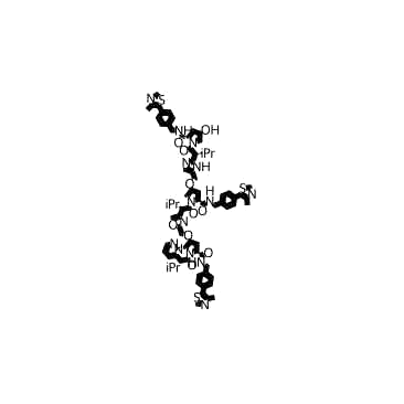 Cc1ncsc1-c1ccc(CNC(=O)[C@@H]2C[C@@H](OCc3nc([C@H](C(=O)N4C[C@H](OCc5cnc([C@H](C(=O)N6C[C@H](O)C[C@H]6C(=O)NCc6ccc(-c7scnc7C)cc6)C(C)C)[nH]5)C[C@H]4C(=O)NCc4ccc(-c5scnc5C)cc4)C(C)C)co3)CN2C(=O)[C@@H](c2cccnn2)C(C)C)cc1